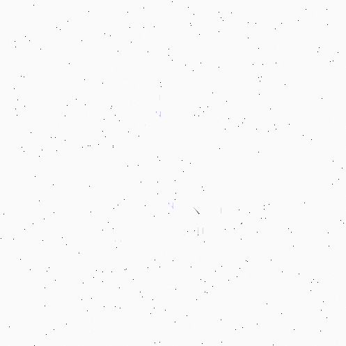 CC(C)[C@@H]1COc2cc(C(=O)NO)ccc2CN1C(=O)C1CCOCC1